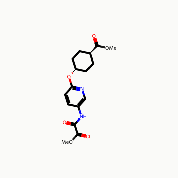 COC(=O)C(=O)Nc1ccc(O[C@H]2CC[C@H](C(=O)OC)CC2)nc1